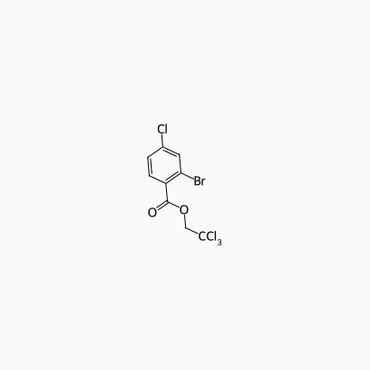 O=C(OCC(Cl)(Cl)Cl)c1ccc(Cl)cc1Br